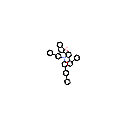 c1ccc(-c2ccc(-c3ccc(N(c4ccc(-c5ccccc5)cc4)c4c(-c5ccccc5-c5ccccc5)ccc5oc6c7ccccc7ccc6c45)cc3)cc2)cc1